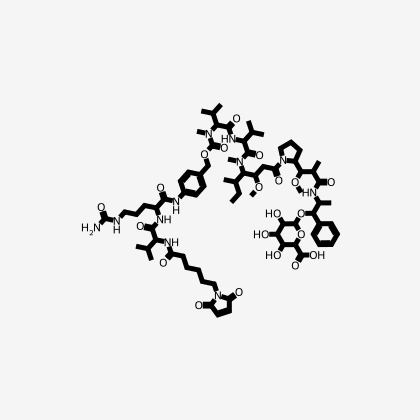 CCC(C)C(C(CC(=O)N1CCCC1C(OC)C(C)C(=O)NC(C)C(OC1OC(C(=O)O)C(O)C(O)C1O)c1ccccc1)OC)N(C)C(=O)C(NC(=O)C(C(C)C)N(C)C(=O)OCc1ccc(NC(=O)C(CCCNC(N)=O)NC(=O)C(NC(=O)CCCCCN2C(=O)C=CC2=O)C(C)C)cc1)C(C)C